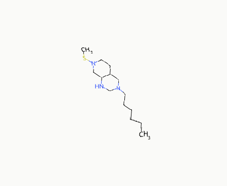 CCCCCCN1CNC2CN(SC)CCC2C1